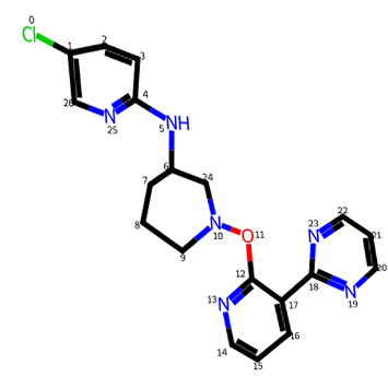 Clc1ccc(NC2CCCN(Oc3ncccc3-c3ncccn3)C2)nc1